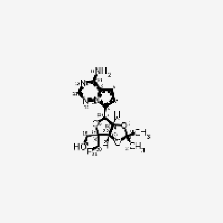 CC1(C)O[C@H]2[C@H](c3ccc4c(N)ncnn34)O[C@@](CO)(CF)[C@H]2O1